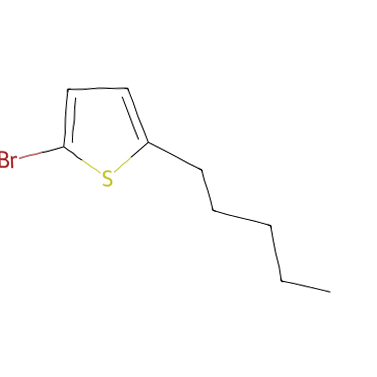 CCCCCc1ccc(Br)s1